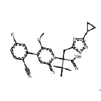 COc1cn(C(Cc2nnc(C3CC3)o2)(C(=O)O)C(C)(C)C)c(=O)cc1-c1cc(Cl)ccc1C#N